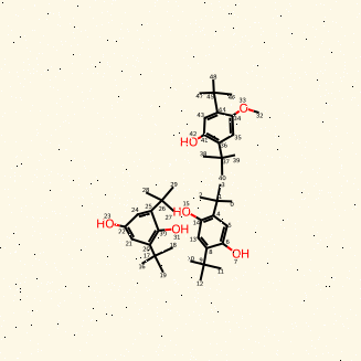 CC(C)(C)c1cc(O)c(C(C)(C)C)cc1O.CC(C)(C)c1cc(O)cc(C(C)(C)C)c1O.COc1cc(C(C)(C)C)c(O)cc1C(C)(C)C